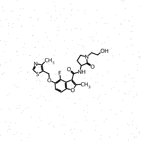 Cc1ncsc1COc1ccc2oc(C)c(C(=O)NC3CCN(CCO)C3=O)c2c1F